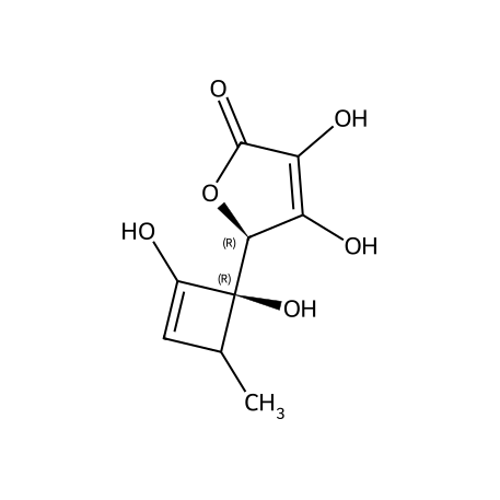 CC1C=C(O)[C@]1(O)[C@H]1OC(=O)C(O)=C1O